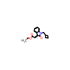 CCOC(=O)/C=C1/C(=O)N(CC2CCC2)c2ccccc21